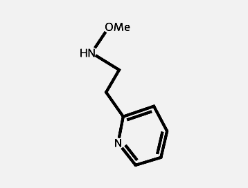 CONCCc1ccccn1